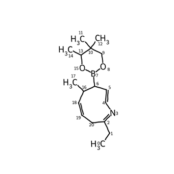 CC/C1=N/C=C/C(B2OCC(C)(C)C(C)O2)C(C)/C=C\C1